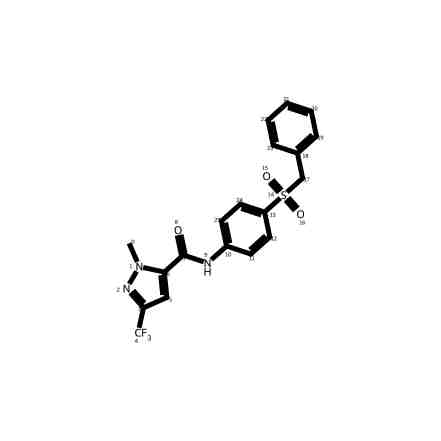 Cn1nc(C(F)(F)F)cc1C(=O)Nc1ccc(S(=O)(=O)Cc2ccccc2)cc1